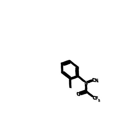 Cc1ccccc1N(C#N)C(=O)C(F)(F)F